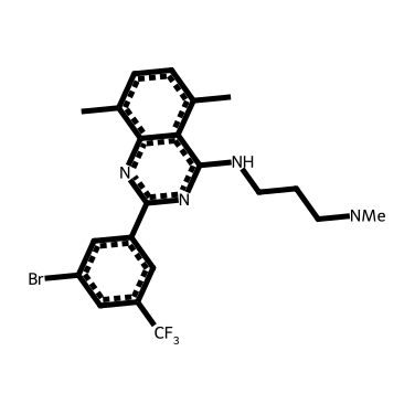 CNCCCNc1nc(-c2cc(Br)cc(C(F)(F)F)c2)nc2c(C)ccc(C)c12